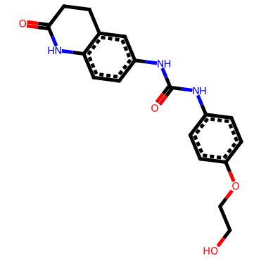 O=C1CCc2cc(NC(=O)Nc3ccc(OCCO)cc3)ccc2N1